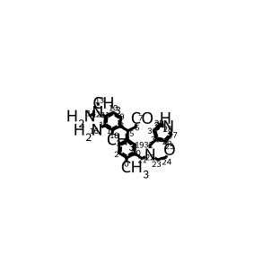 Cc1ccc(C(CC(=O)O)c2ccc(N(C)N)c(N)c2C)cc1CN1CCOc2cnccc2C1